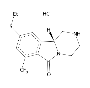 CCSc1cc2c(c(C(F)(F)F)c1)C(=O)N1CCNC[C@@H]21.Cl